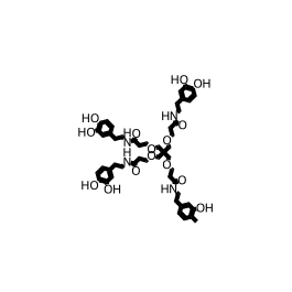 Cc1ccc(CCNC(=O)CCOCC(COCCC(=O)NCCc2ccc(O)c(O)c2)(COCCC(=O)NCCc2ccc(O)c(O)c2)COCCC(=O)NCCc2ccc(O)c(O)c2)cc1O